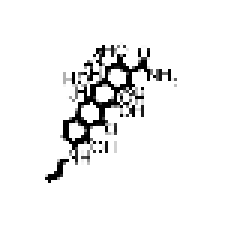 C=CCNc1ccc2c(c1O)C(=O)C1=C(O)[C@]3(O)C(=O)C(C(N)=O)=C(O)[C@@H](N(C)C)[C@@H]3[C@@H](O)[C@@H]1[C@H]2C